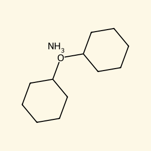 C1CCC(OC2CCCCC2)CC1.N